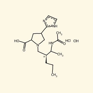 CCC[C@@H](CN1CC(c2ncc[nH]2)CC1C(=O)O)C(C)NC(C)=O.Cl.Cl